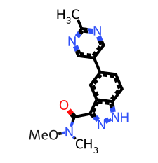 CON(C)C(=O)c1n[nH]c2ccc(-c3cnc(C)nc3)cc12